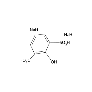 O=C(O)c1cccc(S(=O)(=O)O)c1O.[NaH].[NaH]